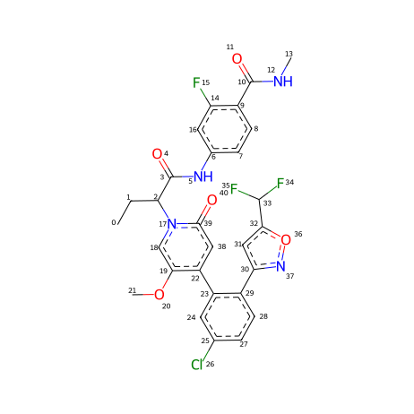 CCC(C(=O)Nc1ccc(C(=O)NC)c(F)c1)n1cc(OC)c(-c2cc(Cl)ccc2-c2cc(C(F)F)on2)cc1=O